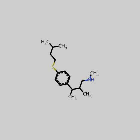 CNCC(C)C(C)c1ccc(SCCC(C)C)cc1